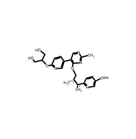 COc1ccc([C@@H](C)[C@H](C)COc2nc(C)ncc2-c2ccc(OC(CO)CO)nc2)nc1